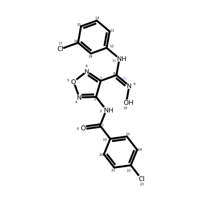 O=C(Nc1nonc1/C(=N\O)Nc1cccc(Cl)c1)c1ccc(Cl)cc1